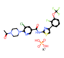 CC(=O)N1CCN(c2ncc(C(=O)Nc3nc(-c4cccc(OC(F)(F)F)c4F)cs3)cc2Cl)CC1.O=P([O-])(O)O.[K+]